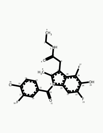 CCNC(=O)Cc1c(C)n(C(=O)c2ccc(Cl)c(F)c2)c2cc(F)c(O)c(F)c12